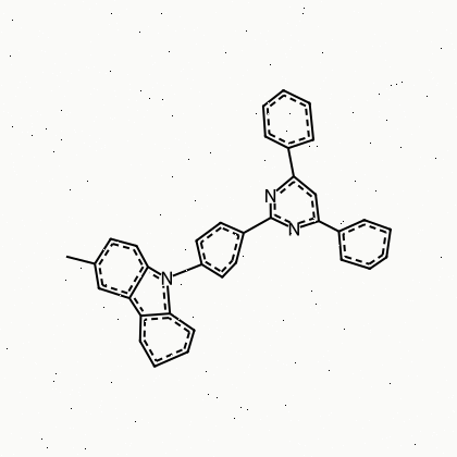 Cc1ccc2c(c1)c1ccccc1n2-c1ccc(-c2nc(-c3ccccc3)cc(-c3ccccc3)n2)cc1